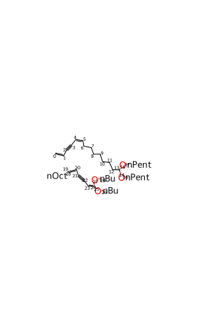 C=CC#C/C=C\CCCCCCCC(OCCCCC)OCCCCC.CCCCCCCC/C=C\C#CC=C(OCCCC)OCCCC